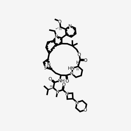 CCn1c(-c2cccnc2[C@H](C)OC)c2c3cc(ccc31)-c1csc(n1)CC(NC(=O)[C@H](C(C)C)N(C)C(=O)N1CC(N3CCOCC3)C1)C(=O)N1CCC[C@H](N1)C(=O)OCC(C)(C)C2